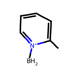 B[n+]1ccccc1C